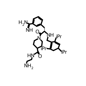 CC(C)C1=CC(C(C)C)CC(C(C)C)=C1CN[C@@H](Cc1cccc(C(=N)N)c1)C(=O)N1CCC(C(=O)NCCN)CC1